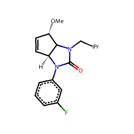 CO[C@H]1C=C[C@H]2C1N(CC(C)C)C(=O)N2c1cccc(F)c1